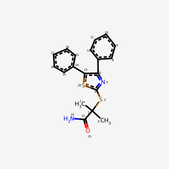 CC(C)(Sc1nc(-c2ccccc2)c(-c2ccccc2)s1)C(N)=O